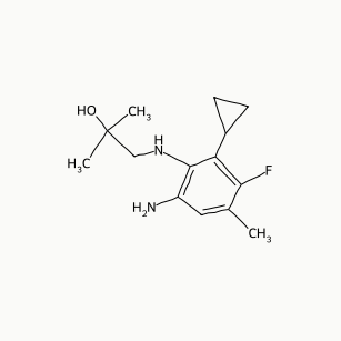 Cc1cc(N)c(NCC(C)(C)O)c(C2CC2)c1F